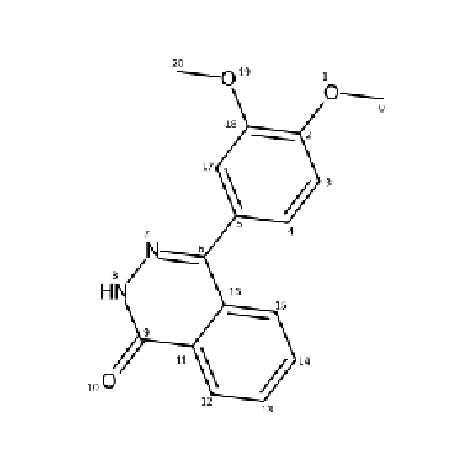 COc1ccc(-c2n[nH]c(=O)c3ccccc23)cc1OC